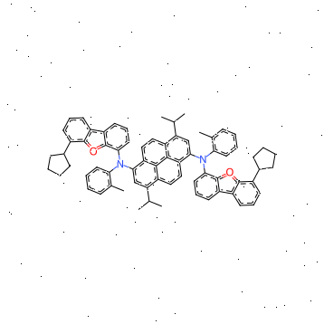 Cc1ccccc1N(c1cc(C(C)C)c2ccc3c(N(c4ccccc4C)c4cccc5c4oc4c(C6CCCC6)cccc45)cc(C(C)C)c4ccc1c2c43)c1cccc2c1oc1c(C3CCCC3)cccc12